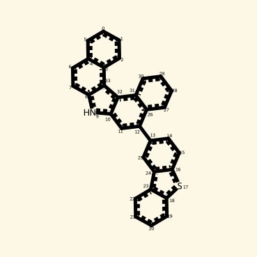 c1ccc2c(c1)ccc1[nH]c3cc(-c4ccc5sc6ccccc6c5c4)c4ccccc4c3c12